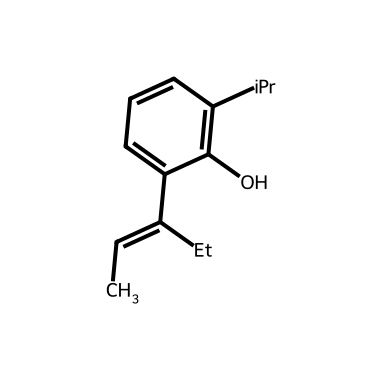 C/C=C(\CC)c1cccc(C(C)C)c1O